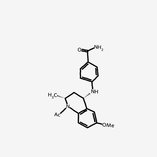 COc1ccc2c(c1)[C@@H](Nc1ccc(C(N)=O)cc1)C[C@@H](C)N2C(C)=O